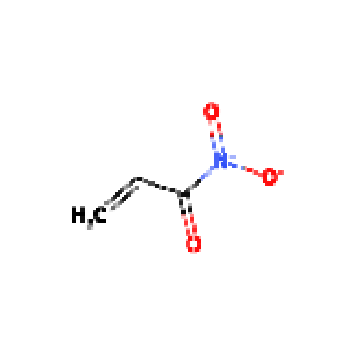 C=CC(=O)[N+](=O)[O-]